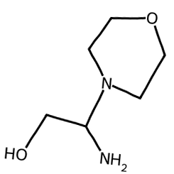 NC(CO)N1CCOCC1